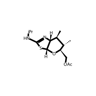 CC(=O)OC[C@H]1O[C@@H]2SC(NC(C)C)=N[C@@H]2[C@@H](C)[C@@H]1C